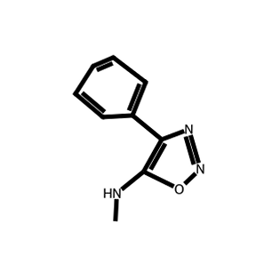 CNc1onnc1-c1ccccc1